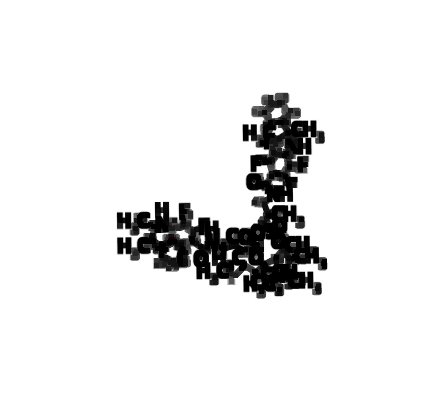 CCC(C)C(C)C1(C)O[Si](CCCNC(=O)c2c(F)c(F)c(NC(C)C(C)c3ccccc3)c(F)c2F)(OC)O[Si](CCCNC(=O)c2c(F)c(F)c(NC(C)(CC)c3ccccc3)c(F)c2F)(OC)OC(C)(C(C)C(C)CC)C1C